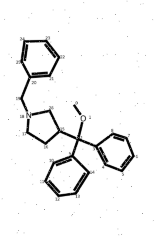 COC(c1ccccc1)(c1ccccc1)C1CCN(Cc2ccccc2)C1